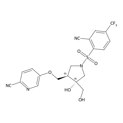 N#Cc1ccc(OC[C@H]2CN(S(=O)(=O)c3ccc(C(F)(F)F)cc3C#N)C[C@@]2(O)CO)cn1